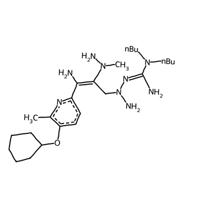 CCCCN(CCCC)/C(N)=N/N(N)C/C(=C(/N)c1ccc(OC2CCCCC2)c(C)n1)N(C)N